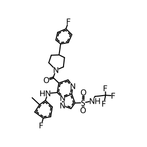 Cc1cc(F)ccc1Nc1c(C(=O)N2CCC(c3ccc(F)cc3)CC2)cnc2c(S(=O)(=O)NCC(F)(F)F)cnn12